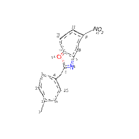 Cc1ccc(-c2nc3cc([N+](=O)[O-])ccc3o2)cc1